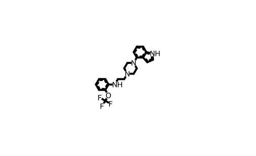 FC(F)(F)Oc1ccccc1NCCN1CCN(c2cccc3[nH]ccc23)CC1